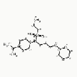 CC(C)N1CCC(N(CCCOC2CCCCO2)S(=O)(=O)CCN)CC1